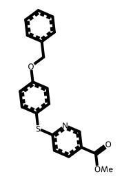 COC(=O)c1ccc(Sc2ccc(OCc3ccccc3)cc2)nc1